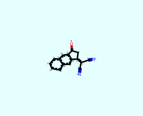 N#CC(C#N)=C1CC(=O)c2cc3ccccc3cc21